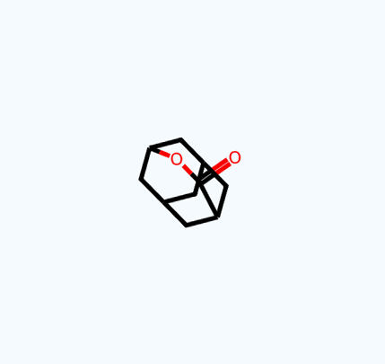 O=C1OC2CC3CC(C2)CC1C3